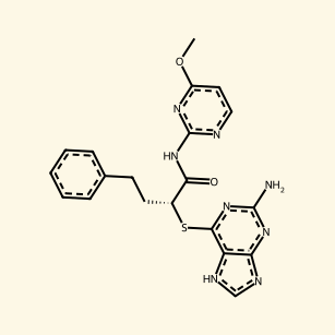 COc1ccnc(NC(=O)[C@@H](CCc2ccccc2)Sc2nc(N)nc3nc[nH]c23)n1